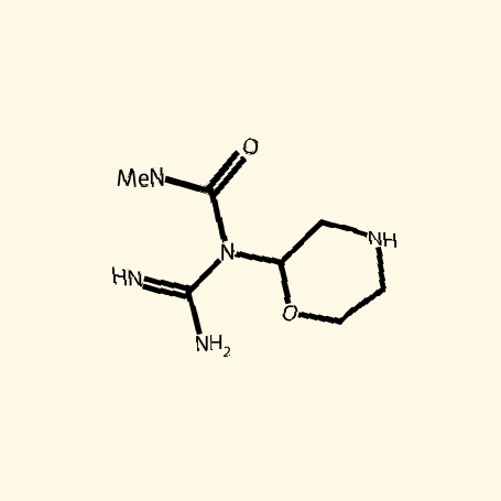 CNC(=O)N(C(=N)N)C1CNCCO1